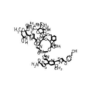 COC1=C(c2nc(C(=O)N[C@@H]3c4nc(cs4)C(=O)N[C@H](c4nc(-c5nc(-c6nc(C(=O)N7CCN(CCO)CC7)cs6)c(OC)cc5-c5nc(C(N)=O)cs5)cs4)COC(=O)C4C5CO[C@@H]3[C@H](O[C@H]3C[C@](C)(O)[C@H](N(C)C)[C@H](C)O3)C(=O)OCc3cccc(c35)N4O)cs2)NC(=O)C[C@@H](C)O1